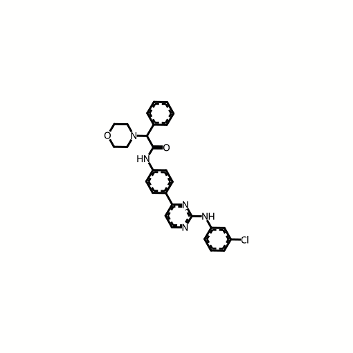 O=C(Nc1ccc(-c2ccnc(Nc3cccc(Cl)c3)n2)cc1)C(c1ccccc1)N1CCOCC1